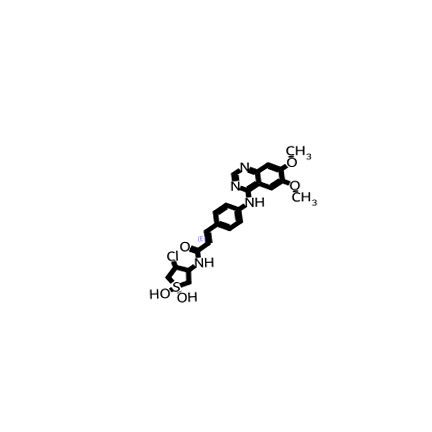 COc1cc2ncnc(Nc3ccc(/C=C/C(=O)NC4CS(O)(O)CC4Cl)cc3)c2cc1OC